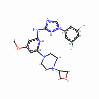 COc1cc(Nc2ncn(-c3cc(F)cc(F)c3)n2)nc(N2CCN(C3COC3)CC2)c1